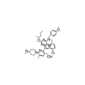 CCCC(C)Oc1nc(N(Cc2ccc(OC)cc2)Cc2ccc(OC)cc2)c2ncc(-c3nc(N4CCC(N(C)C)CC4)c(C)cc3CO)n2n1